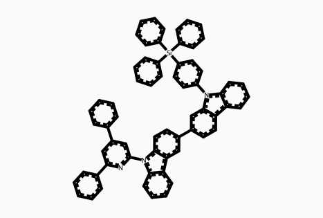 c1ccc(-c2cc(-c3ccccc3)nc(-n3c4ccccc4c4cc(-c5ccc6c7ccccc7n(-c7ccc([Si](c8ccccc8)(c8ccccc8)c8ccccc8)cc7)c6c5)ccc43)c2)cc1